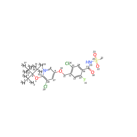 [2H]C([2H])([2H])C(Oc1ncc(OCc2cc(F)c(C(=O)NS(C)(=O)=O)cc2Cl)cc1Cl)(C([2H])([2H])[2H])C([2H])([2H])[2H]